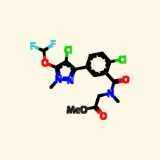 COC(=O)CN(C)C(=O)c1cc(-c2nn(C)c(OC(F)F)c2Cl)ccc1Cl